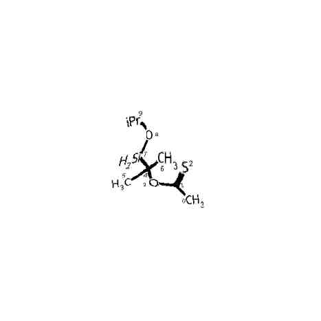 CC(=S)OC(C)(C)[SiH2]OC(C)C